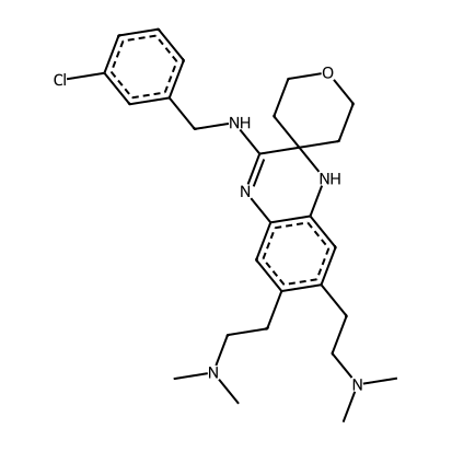 CN(C)CCc1cc2c(cc1CCN(C)C)NC1(CCOCC1)C(NCc1cccc(Cl)c1)=N2